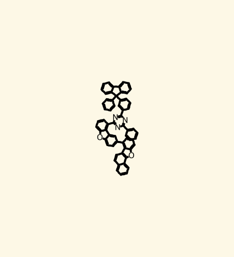 c1ccc(-c2nc(-c3cccc(C4(c5ccccc5)c5ccccc5-c5ccccc54)c3)nc(-c3cccc4oc5ccc(-c6cccc7oc8c9ccccc9ccc8c67)cc5c34)n2)cc1